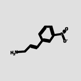 NCC=Cc1cccc([N+](=O)[O-])c1